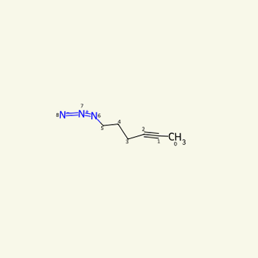 CC#CCCCN=[N+]=[N-]